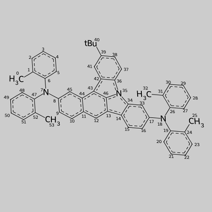 Cc1ccccc1N(c1ccc2cc3c4ccc(N(c5ccccc5C)c5ccccc5C)cc4n4c5ccc(C(C)(C)C)cc5c(c2c1)c34)c1ccccc1C